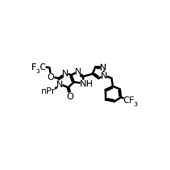 CCCn1c(OCC(F)(F)F)nc2nc(-c3cnn(Cc4cccc(C(F)(F)F)c4)c3)[nH]c2c1=O